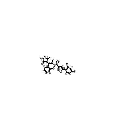 Cc1nn(C)c(C)c1C1c2ccccc2CN(C(=O)c2cc(-c3ccc(F)cc3F)on2)C1C